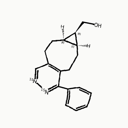 OC[C@H]1[C@H]2CCc3c(c[15n][15n]c3-c3ccccc3)CC[C@@H]12